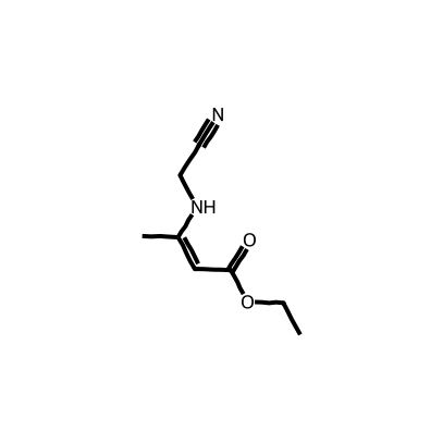 CCOC(=O)/C=C(/C)NCC#N